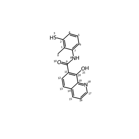 Cc1c(S)cccc1NC(=O)c1ccc2cccnc2c1O